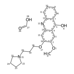 COc1cc2c(O)c3ccccc3nc2cc1OCCCN1CCCC1.O=CO